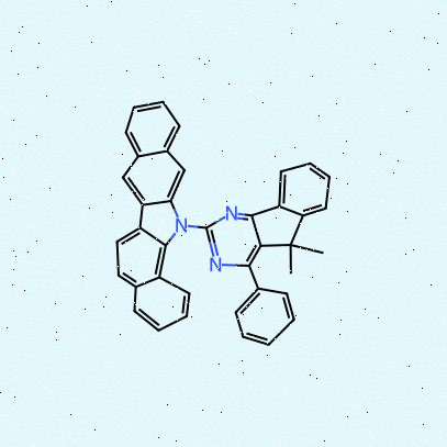 CC1(C)c2ccccc2-c2nc(-n3c4cc5ccccc5cc4c4ccc5ccccc5c43)nc(-c3ccccc3)c21